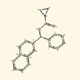 O=C(OC(c1ccccc1)c1ccc2ccccc2c1)C1CC1